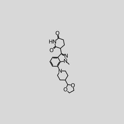 Cn1nc(C2CCC(=O)NC2=O)c2cccc(N3CCC(C4OCCO4)CC3)c21